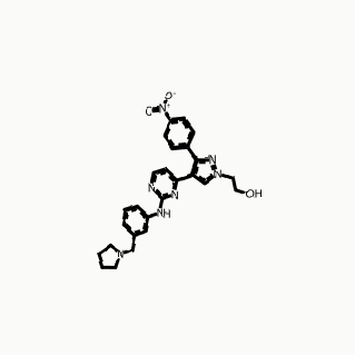 O=[N+]([O-])c1ccc(-c2nn(CCO)cc2-c2ccnc(Nc3cccc(CN4CCCC4)c3)n2)cc1